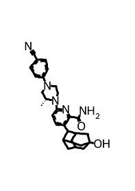 C[C@@H]1CN(c2ccc(C#N)cc2)CCN1c1ccc(C2C3CC4CC2CC(O)(C4)C3)c(C(N)=O)n1